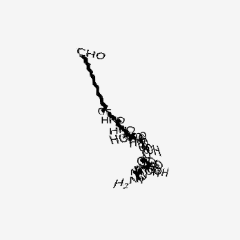 CC(C)(COP(=O)(O)OP(=O)(O)OC[C@H]1O[C@@H](n2cnc3c(N)ncnc32)[C@H](O)[C@@H]1OP(=O)(O)O)[C@@H](O)C(=O)NCCC(=O)NCCSC(=O)C=CCCCCCCCCCCCCC=O